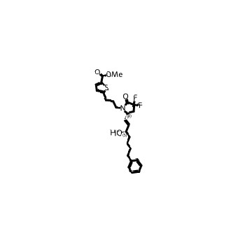 COC(=O)c1ccc(CCCN2C(=O)C(F)(F)C[C@@H]2C=C[C@@H](O)CCCCc2ccccc2)s1